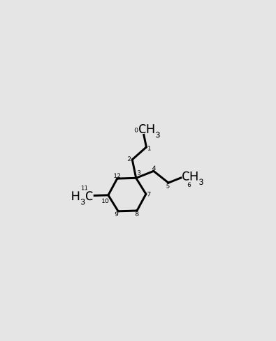 CCCC1(CCC)CCCC(C)C1